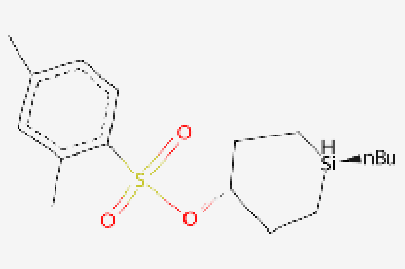 CCCC[Si@H]1CC[C@H](OS(=O)(=O)c2ccc(C)cc2C)CC1